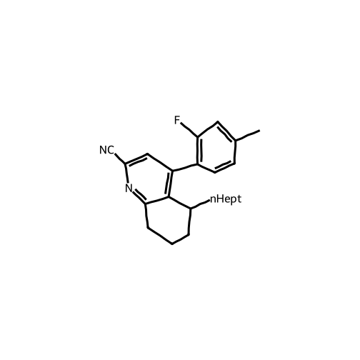 CCCCCCCC1CCCc2nc(C#N)cc(-c3ccc(C)cc3F)c21